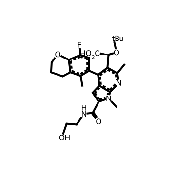 Cc1nc2c(cc(C(=O)NCCO)n2C)c(-c2cc(F)c3c(c2C)CCCO3)c1[C@H](OC(C)(C)C)C(=O)O